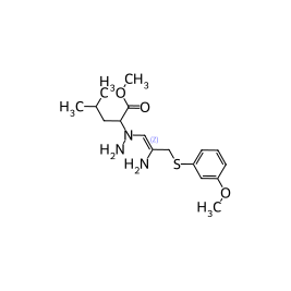 COC(=O)C(CC(C)C)N(N)/C=C(\N)CSc1cccc(OC)c1